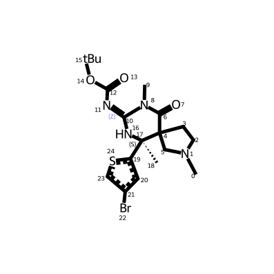 CN1CCC2(C1)C(=O)N(C)/C(=N\C(=O)OC(C)(C)C)N[C@]2(C)c1cc(Br)cs1